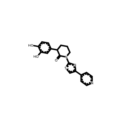 O=C1C(c2ccc(O)c(O)c2)CCCN1c1nc(-c2ccncc2)cs1